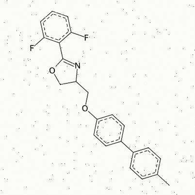 Cc1ccc(-c2ccc(OCC3COC(c4c(F)cccc4F)=N3)cc2)cc1